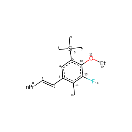 CCC/C=C/c1cc([Si](C)(C)C)c(OCC)c(F)c1C